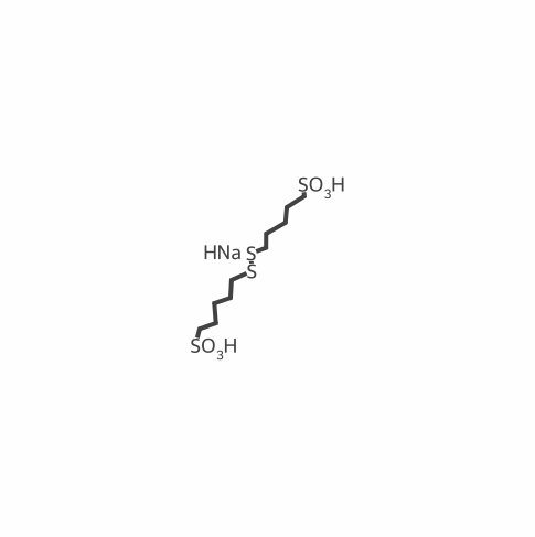 O=S(=O)(O)CCCCCSSCCCCCS(=O)(=O)O.[NaH]